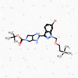 CC(C)(C)OC(=O)N1CC2NC(c3nn(COCC[Si](C)(C)C)c4cc(Br)ccc34)NC2C1